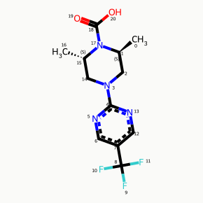 C[C@H]1CN(c2ncc(C(F)(F)F)cn2)C[C@H](C)N1C(=O)O